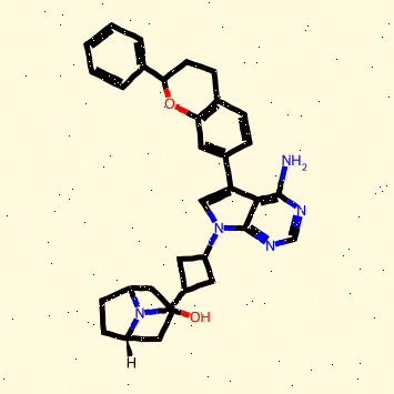 Nc1ncnc2c1c(-c1ccc3c(c1)OC(c1ccccc1)CC3)cn2C1CC(CN2C3CC[C@H]2CC(O)C3)C1